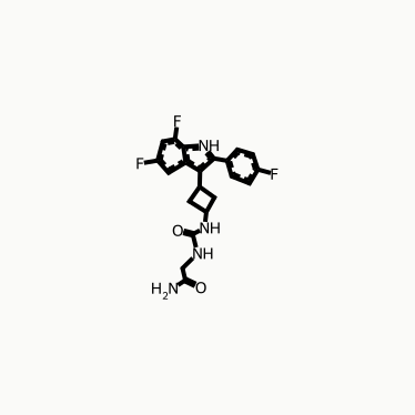 NC(=O)CNC(=O)NC1CC(c2c(-c3ccc(F)cc3)[nH]c3c(F)cc(F)cc23)C1